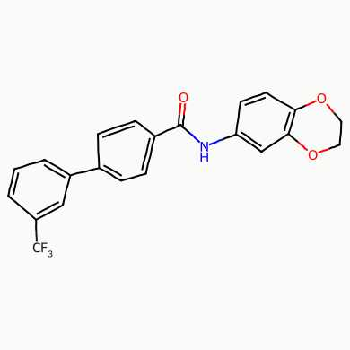 O=C(Nc1ccc2c(c1)OCCO2)c1ccc(-c2cccc(C(F)(F)F)c2)cc1